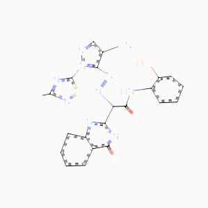 Cc1nsc(-n2ncc(C#N)c2N=NC(C(=O)Nc2ccccc2O)c2nc3ccccc3c(=O)[nH]2)n1